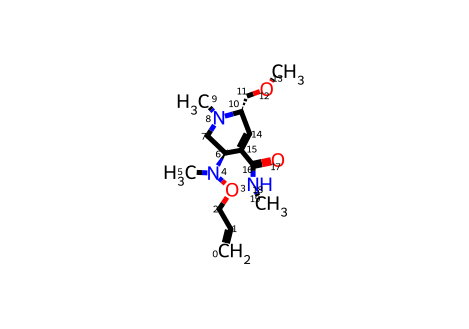 C=CCON(C)[C@H]1CN(C)[C@H](COC)C=C1C(=O)NC